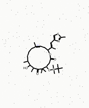 CC(=Cc1csc(C)n1)C1C/C=C(/C)CCCC(C)C(O)C(C)C(=O)C(C)(C)C(O[Si](C)(C)C(C)(C)C)CC(=O)O1